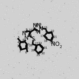 Cc1ccc(C)c(-n2ncc(-c3nnn(Cc4ccc([N+](=O)[O-])cc4)n3)c2SCc2ccccc2)c1